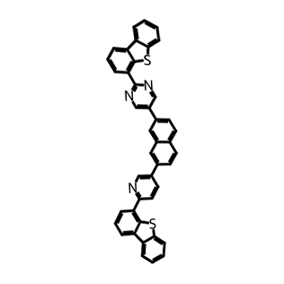 c1ccc2c(c1)sc1c(-c3ccc(-c4ccc5ccc(-c6cnc(-c7cccc8c7sc7ccccc78)nc6)cc5c4)cn3)cccc12